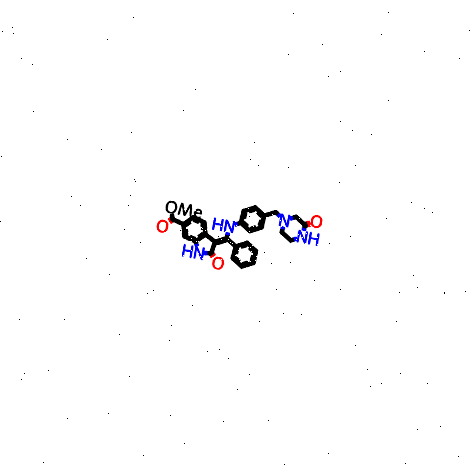 COC(=O)c1ccc2c(c1)NC(=O)C2=C(Nc1ccc(CN2CCNC(=O)C2)cc1)c1ccccc1